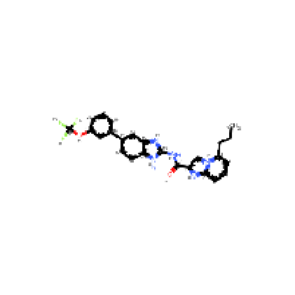 CCCc1cccc2nc(C(=O)Nc3nc4cc(-c5cccc(OC(F)(F)F)c5)ccc4[nH]3)cn12